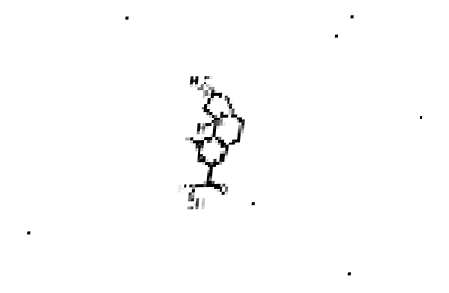 C[C@@H]1C[C@H]2c3c(F)cc(C(=O)NO)cc3CCN2C1